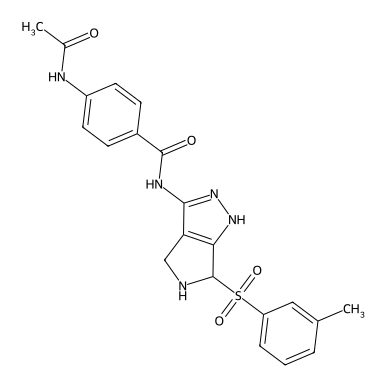 CC(=O)Nc1ccc(C(=O)Nc2n[nH]c3c2CNC3S(=O)(=O)c2cccc(C)c2)cc1